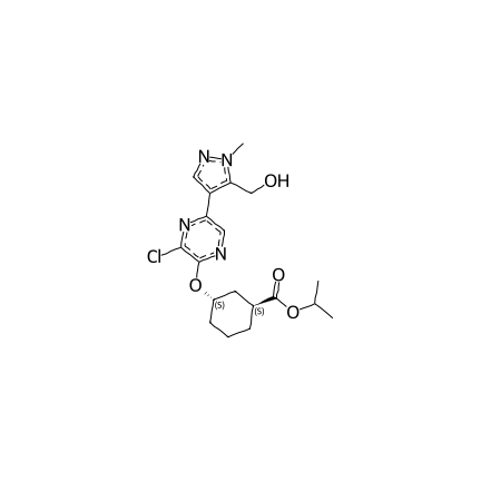 CC(C)OC(=O)[C@H]1CCC[C@H](Oc2ncc(-c3cnn(C)c3CO)nc2Cl)C1